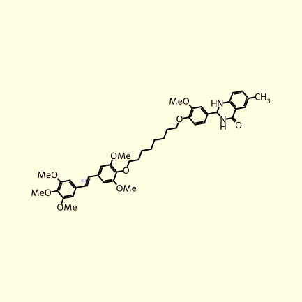 COc1cc(C2NC(=O)c3cc(C)ccc3N2)ccc1OCCCCCCCCOc1c(OC)cc(/C=C/c2cc(OC)c(OC)c(OC)c2)cc1OC